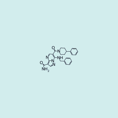 NC(=O)c1cnn2c(NCc3ccccc3)c(C(=O)N3CCC(c4ccccc4)CC3)cnc12